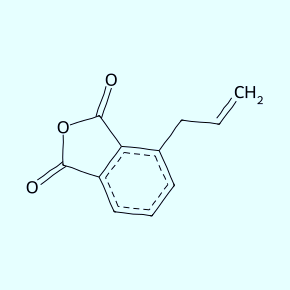 C=CCc1cccc2c1C(=O)OC2=O